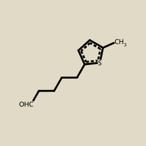 Cc1ccc(CCCCC=O)s1